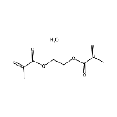 C=C(C)C(=O)OCCOC(=O)C(=C)C.O